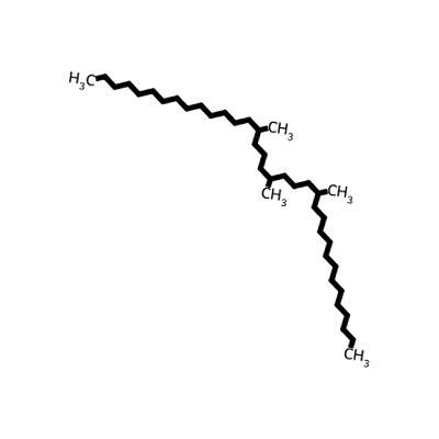 CCCCCCCCCCCCCCC(C)CCCC(C)CCCC(C)CCCCCCCCCCCCC